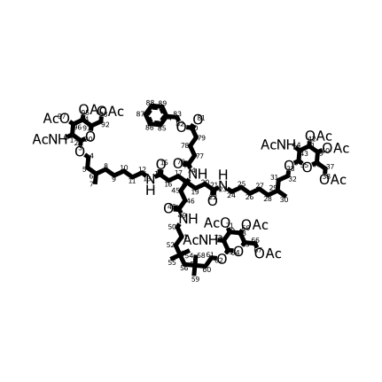 CC(=O)NC1C(OCCC(C)CCCCCNC(=O)CCC(CCC(=O)NCCCCCC(C)CCOC2OC(COC(C)=O)C(OC(C)=O)C(OC(C)=O)C2NC(C)=O)(CCC(=O)NCCCC(C)(C)CC(C)(C)CCOC2OC(COC(C)=O)C(OC(C)=O)C(OC(C)=O)C2NC(C)=O)NC(=O)CCCC(=O)OCc2ccccc2)OC(COC(C)=O)C(OC(C)=O)C1OC(C)=O